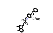 COc1cc(/C=N/NC(=O)CCn2cc(C)c3c(C)cccc32)ccc1OCc1ccccc1